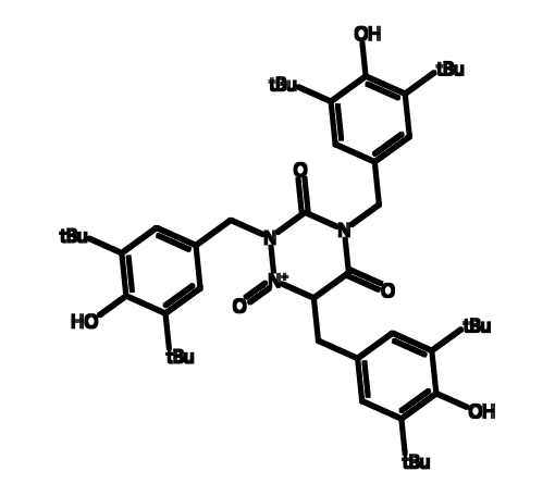 CC(C)(C)c1cc(CC2C(=O)N(Cc3cc(C(C)(C)C)c(O)c(C(C)(C)C)c3)C(=O)N(Cc3cc(C(C)(C)C)c(O)c(C(C)(C)C)c3)[N+]2=O)cc(C(C)(C)C)c1O